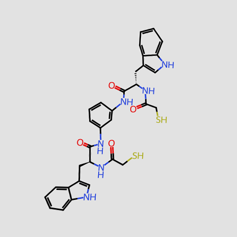 O=C(CS)N[C@@H](Cc1c[nH]c2ccccc12)C(=O)Nc1cccc(NC(=O)[C@H](Cc2c[nH]c3ccccc23)NC(=O)CS)c1